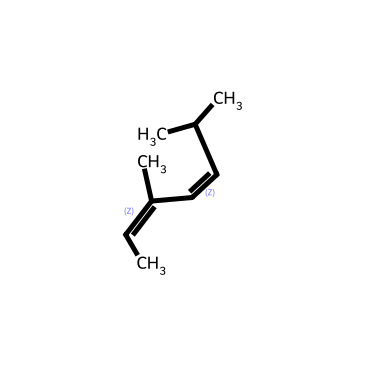 C/C=C(C)\C=C/C(C)C